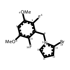 COc1cc(OC)c(F)c(Cn2cccc2Br)c1F